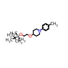 Cc1ccc(N2CCC(OCCO[Si](C)(C)C(C)(C)C)CC2)cc1